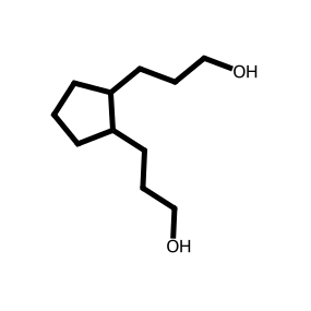 OCCCC1CCCC1CCCO